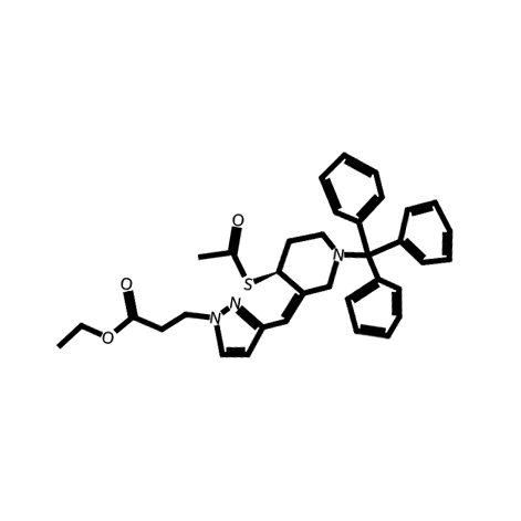 CCOC(=O)CCn1ccc(/C=C2/CN(C(c3ccccc3)(c3ccccc3)c3ccccc3)CC[C@@H]2SC(C)=O)n1